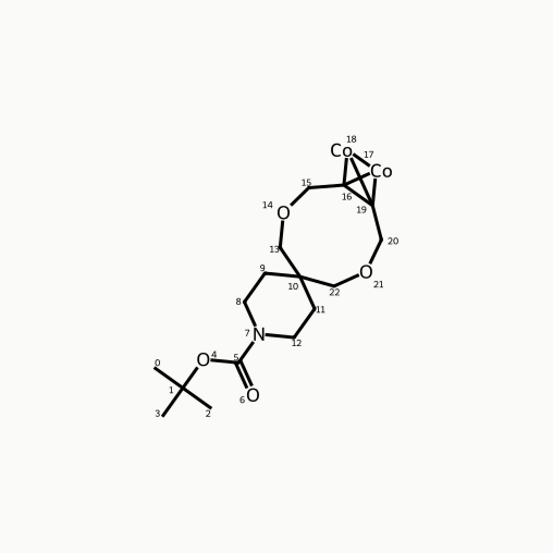 CC(C)(C)OC(=O)N1CCC2(CC1)COC[C]13[Co]4[Co]1[C]43COC2